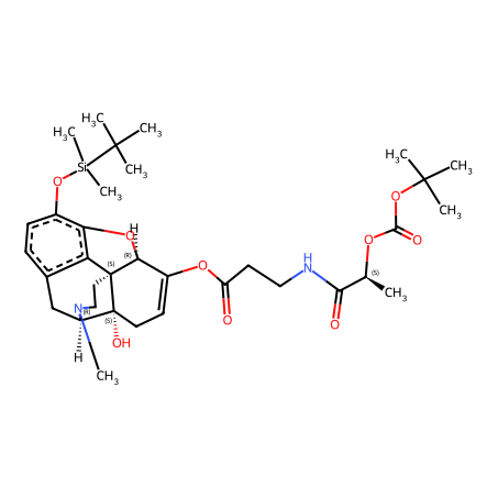 C[C@H](OC(=O)OC(C)(C)C)C(=O)NCCC(=O)OC1=CC[C@@]2(O)[C@H]3Cc4ccc(O[Si](C)(C)C(C)(C)C)c5c4[C@@]2(CCN3C)[C@H]1O5